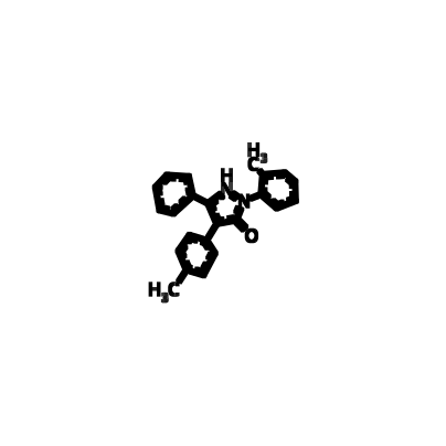 Cc1ccc(-c2c(-c3ccccc3)[nH]n(-c3ccccc3C)c2=O)cc1